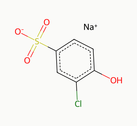 O=S(=O)([O-])c1ccc(O)c(Cl)c1.[Na+]